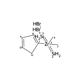 Br.Br.[CH3][Zr]([CH3])(=[SiH2])(=[SiH2])[C]1=CC=CC1